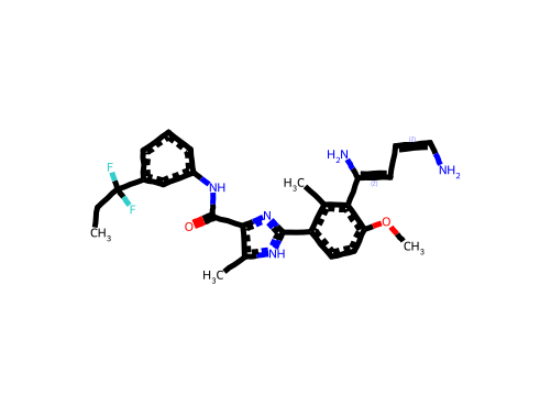 CCC(F)(F)c1cccc(NC(=O)c2nc(-c3ccc(OC)c(/C(N)=C/C=C\N)c3C)[nH]c2C)c1